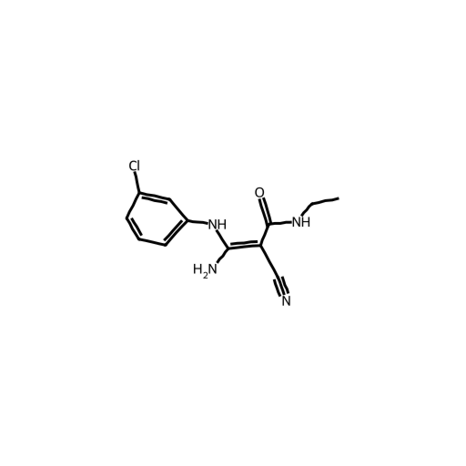 CCNC(=O)/C(C#N)=C(/N)Nc1cccc(Cl)c1